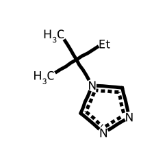 CCC(C)(C)n1cnnc1